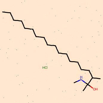 CCCCCCCCCCCCCCCCC(C)C(C)(O)NC.Cl